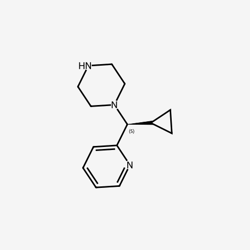 c1ccc([C@H](C2CC2)N2CCNCC2)nc1